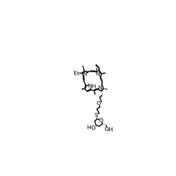 C=Cc1c(C)c2cc3nc(c(C)c4cc(C)c(cc5nc(cc1[nH]2)C(C)=C5CC)[nH]4)[C@@H](CCCOCCCS[C@H]1C[C@@H](O)C[C@@H](CO)O1)[C@@H]3C